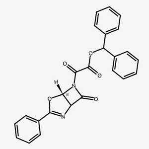 O=C(OC(c1ccccc1)c1ccccc1)C(=O)N1C(=O)C2N=C(c3ccccc3)O[C@@H]21